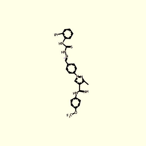 Cc1nn(-c2ccc(/C=N/NC(=S)Nc3ccccc3C(C)C)cc2)cc1C(=N)Nc1ccc(OC(F)(F)F)cc1